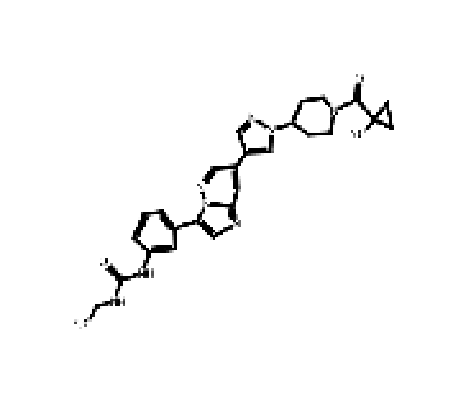 N#CC1(C(=O)N2CCC(n3cc(-c4cnn5c(-c6cccc(NC(=O)NCC(F)(F)F)c6)cnc5c4)cn3)CC2)CC1